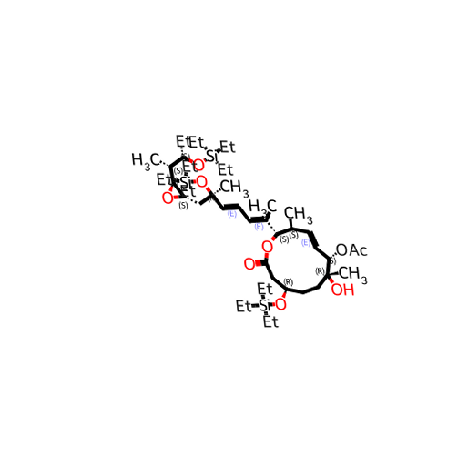 CC[C@H](O[Si](CC)(CC)CC)[C@@H](C)[C@@H]1O[C@H]1C[C@](C)(/C=C/C=C(\C)[C@H]1OC(=O)C[C@H](O[Si](CC)(CC)CC)CC[C@@](C)(O)[C@@H](OC(C)=O)/C=C/[C@@H]1C)O[Si](CC)(CC)CC